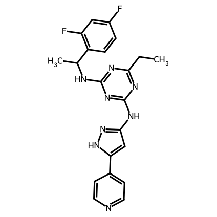 CCc1nc(Nc2cc(-c3ccncc3)[nH]n2)nc(NC(C)c2ccc(F)cc2F)n1